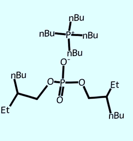 CCCCC(CC)COP(=O)([O-])OCC(CC)CCCC.CCCC[P+](CCCC)(CCCC)CCCC